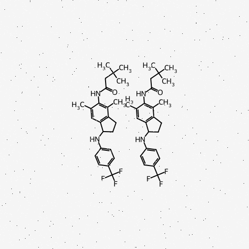 Cc1cc2c(c(C)c1NC(=O)CC(C)(C)C)CCC2Nc1ccc(C(F)(F)F)cc1.Cc1cc2c(c(C)c1NC(=O)CC(C)(C)C)CCC2Nc1ccc(C(F)(F)F)cc1